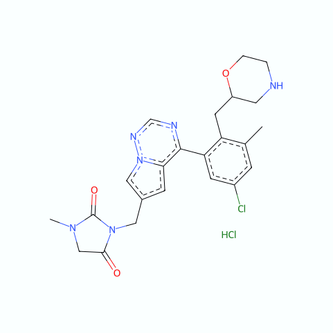 Cc1cc(Cl)cc(-c2ncnn3cc(CN4C(=O)CN(C)C4=O)cc23)c1CC1CNCCO1.Cl